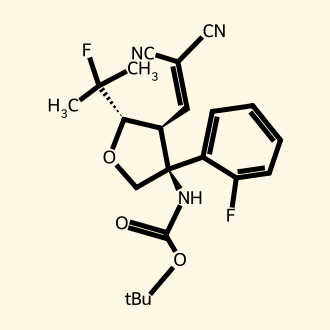 CC(C)(C)OC(=O)N[C@@]1(c2ccccc2F)CO[C@H](C(C)(C)F)[C@H]1C=C(C#N)C#N